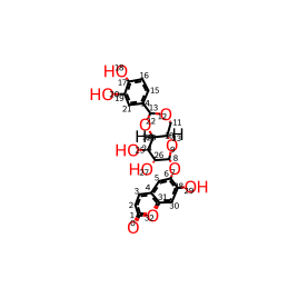 O=c1ccc2cc(O[C@@H]3O[C@@H]4COC(c5ccc(O)c(O)c5)O[C@H]4[C@H](O)[C@H]3O)c(O)cc2o1